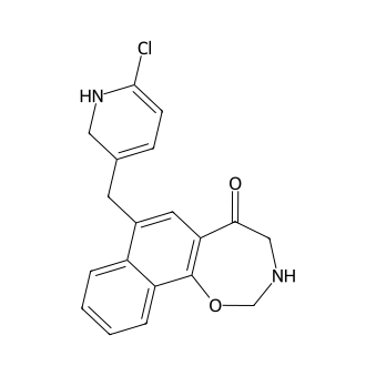 O=C1CNCOc2c1cc(CC1=CC=C(Cl)NC1)c1ccccc21